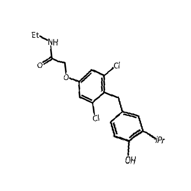 CCNC(=O)COc1cc(Cl)c(Cc2ccc(O)c(C(C)C)c2)c(Cl)c1